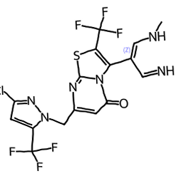 CN/C=C(\C=N)c1c(C(F)(F)F)sc2nc(Cn3nc(Cl)cc3C(F)(F)F)cc(=O)n12